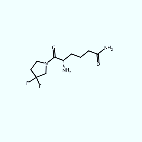 NC(=O)CCC[C@H](N)C(=O)N1CCC(F)(F)C1